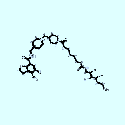 Nc1c(Cl)cc(C(=O)NCC2CCN(CC3CCN(C(=O)CCCCCCC(=O)NCC(O)C(O)C(O)CCO)CC3)CC2)c2c1CCO2